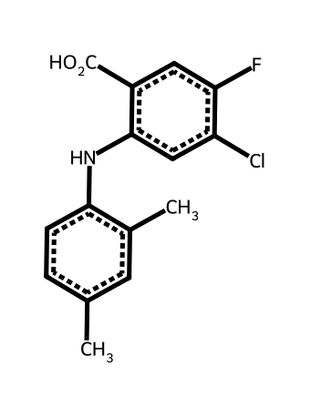 Cc1ccc(Nc2cc(Cl)c(F)cc2C(=O)O)c(C)c1